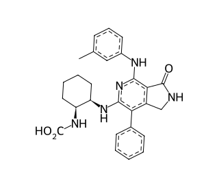 Cc1cccc(Nc2nc(N[C@@H]3CCCC[C@@H]3NC(=O)O)c(-c3ccccc3)c3c2C(=O)NC3)c1